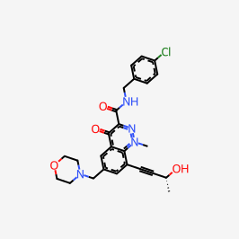 C[C@@H](O)C#Cc1cc(CN2CCOCC2)cc2c(=O)c(C(=O)NCc3ccc(Cl)cc3)nn(C)c12